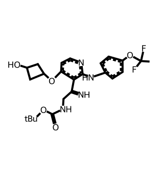 CC(C)(C)OC(=O)NCC(=N)c1c(OC2CC(O)C2)ccnc1Nc1ccc(OC(C)(F)F)cc1